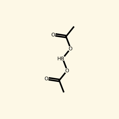 CC(=O)OBOC(C)=O